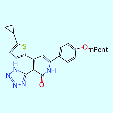 CCCCCOc1ccc(-c2cc(-c3ccc(C4CC4)s3)c(-c3nnn[nH]3)c(=O)[nH]2)cc1